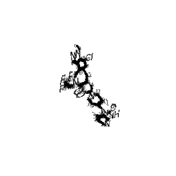 CCn1ncc2c3c(cc(Cl)c21)C[C@@H](CC(=O)N1CCC(n2c(=O)[nH]c4ncccc42)CC1)C(=O)N(CC(F)(F)F)C3